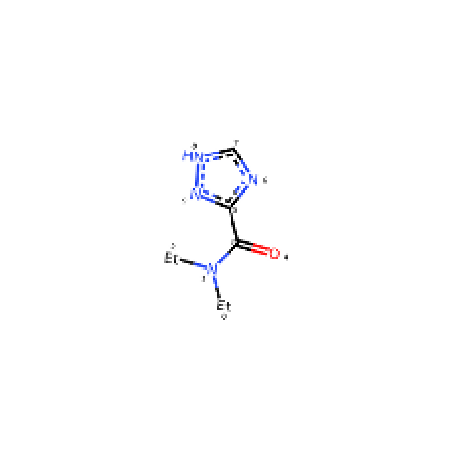 CCN(CC)C(=O)c1nc[nH]n1